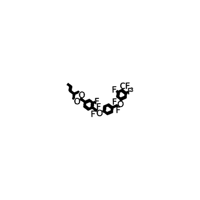 C/C=C/C1COC(c2ccc(C(F)(F)Oc3ccc(C(F)(F)Oc4cc(F)c(C(F)(F)F)c(F)c4)cc3)c(F)c2)OC1